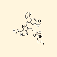 CCNS(=O)(=O)CCCn1c(Sc2cc3c(cc2-c2ncco2)OCO3)nc2c(N)ncnc21